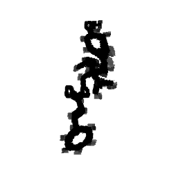 C[SiH2][C@](COC(=O)/C=C/c1ccccc1)(Cc1ccc(O)cc1)N(C)C